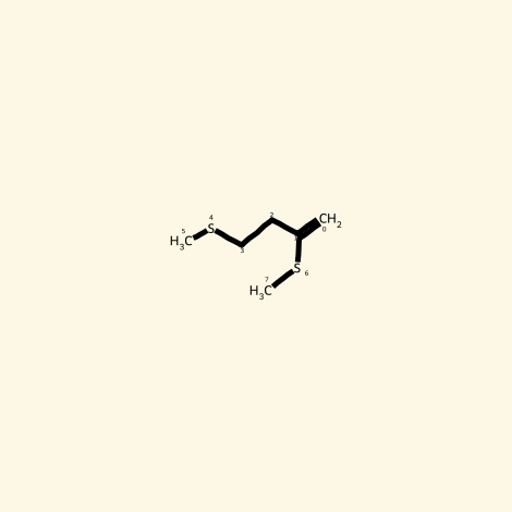 C=C(CCSC)SC